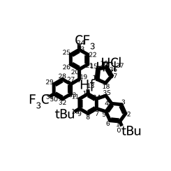 CC(C)(C)c1ccc2c(c1)-c1cc(C(C)(C)C)c[c]([Hf]([C]3=CC=CC3)=[C](c3ccc(C(F)(F)F)cc3)c3ccc(C(F)(F)F)cc3)c1C2.Cl.Cl